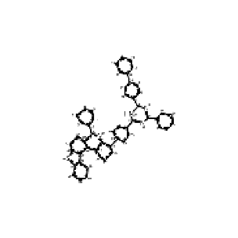 c1ccc(C2=NC(c3ccc(-c4ccccc4)cc3)NC(c3ccc(-c4cccc5c4nc(-c4ccccc4)c4ccc6sc7ccccc7c6c45)cc3)=N2)cc1